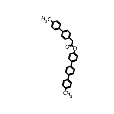 Cc1ccc(-c2ccc(CC(=O)Oc3ccc(-c4ccc(-c5ccc(C)cc5)cc4)cc3)cc2)cc1